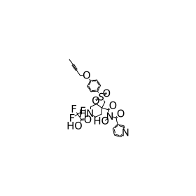 CC#CCOc1ccc(S(=O)(=O)CC2(C(=O)N(O)C(=O)c3cccnc3)CCNCC2)cc1.O=C(O)C(F)(F)F